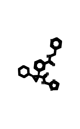 O=C(NCc1cccnc1)c1cccc([C@@]2(C(=O)Nc3nccs3)C[C@H]2C2CCCCC2)c1